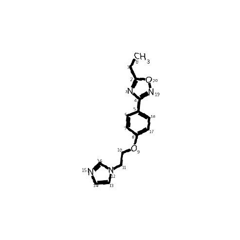 CCc1nc(-c2ccc(OCCn3ccnc3)cc2)no1